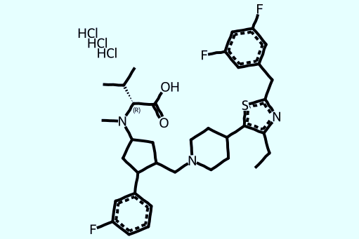 CCc1nc(Cc2cc(F)cc(F)c2)sc1C1CCN(CC2CC(N(C)[C@@H](C(=O)O)C(C)C)CC2c2cccc(F)c2)CC1.Cl.Cl.Cl